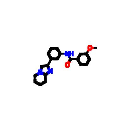 COc1cccc(C(=O)Nc2cccc(-c3cn4ccccc4n3)c2)c1